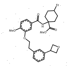 CCC1CCC(NC(=O)c2ccc(OC)c(OCCc3cccc(C4COC4)c3)c2)(C(=O)OC)CC1